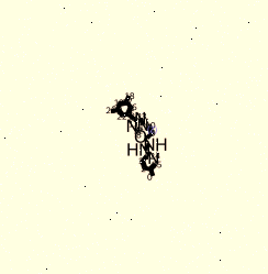 Cc1ccc(NNC(=O)/C=C\n2cnc(-c3cc(C)cc(C)c3)n2)nc1